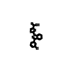 O=C(O)c1csc(-n2nc(-c3cccc(Cl)c3)c3ccccc32)n1